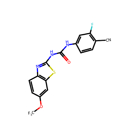 N#Cc1ccc(NC(=O)Nc2nc3ccc(OC(F)(F)F)cc3s2)cc1F